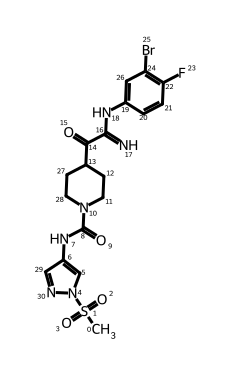 CS(=O)(=O)n1cc(NC(=O)N2CCC(C(=O)C(=N)Nc3ccc(F)c(Br)c3)CC2)cn1